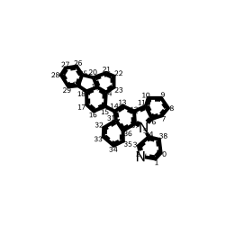 c1cncc(-n2c3ccccc3c3cc(-c4ccc5c6c(cccc46)-c4ccccc4-5)c4ccccc4c32)c1